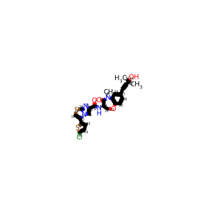 CN1C(=O)[C@@H](NC(=O)c2cn3c(-c4ccc(Cl)s4)csc3n2)COc2ccc(C#CC(C)(C)O)cc21